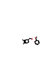 CC(OC(=O)CC1CC2CC1C(C)C2C)c1ccccc1